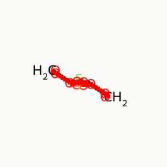 C=CC(=O)OCCCCCCCCCCCOc1ccc(C(=O)Oc2cc(F)c(OC(=O)c3ccc(OCCCCCCCCCCCOC(=O)C=C)cc3)cc2F)cc1